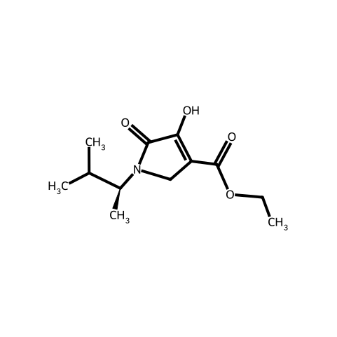 CCOC(=O)C1=C(O)C(=O)N([C@@H](C)C(C)C)C1